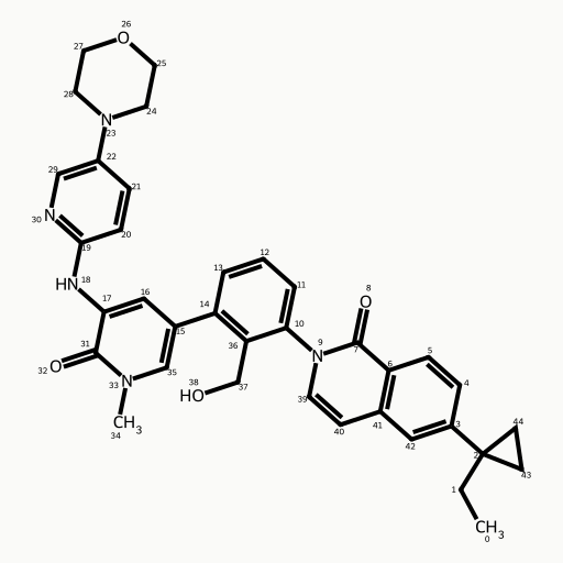 CCC1(c2ccc3c(=O)n(-c4cccc(-c5cc(Nc6ccc(N7CCOCC7)cn6)c(=O)n(C)c5)c4CO)ccc3c2)CC1